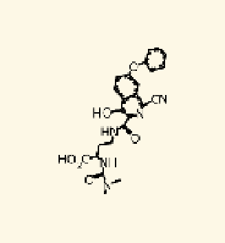 CN(C)C(=O)N[C@H](CCNC(=O)c1nc(C#N)c2cc(Oc3ccccc3)ccc2c1O)C(=O)O